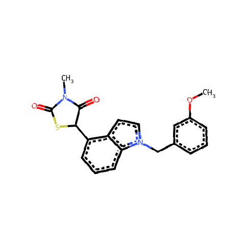 COc1cccc(Cn2ccc3c(C4SC(=O)N(C)C4=O)cccc32)c1